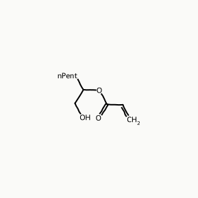 C=CC(=O)OC(CO)CCCCC